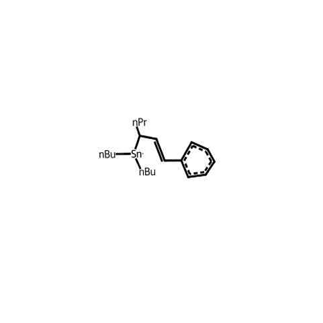 CCC[CH2][Sn]([CH2]CCC)[CH](/C=C/c1ccccc1)CCC